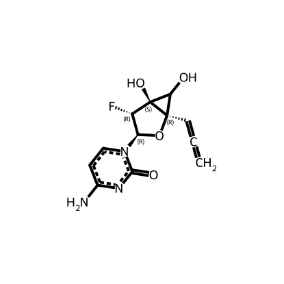 C=C=C[C@]12O[C@@H](n3ccc(N)nc3=O)[C@H](F)[C@]1(O)C2O